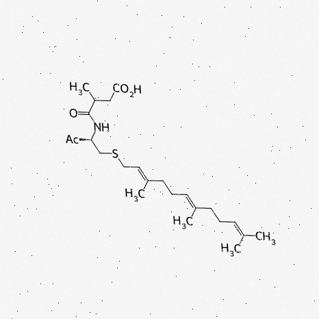 CC(=O)[C@H](CSC/C=C(\C)CC/C=C(\C)CCC=C(C)C)NC(=O)C(C)CC(=O)O